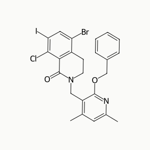 Cc1cc(C)c(CN2CCc3c(Br)cc(I)c(Cl)c3C2=O)c(OCc2ccccc2)n1